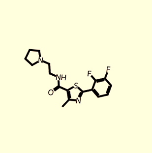 Cc1nc(-c2cccc(F)c2F)sc1C(=O)NCCN1CCCC1